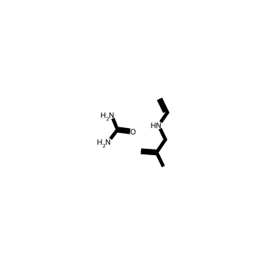 C=CNCC(=C)C.NC(N)=O